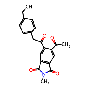 CCc1ccc(CC(=O)c2cc3c(cc2C(C)=O)C(=O)N(C)C3=O)cc1